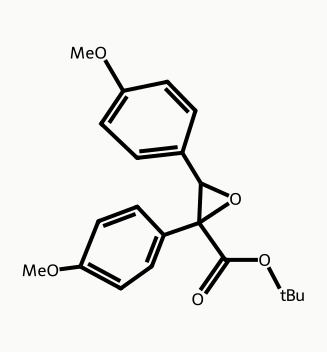 COc1ccc(C2OC2(C(=O)OC(C)(C)C)c2ccc(OC)cc2)cc1